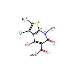 COC(=O)c1c(O)c2c(C)c(C)sc2n(C(C)C)c1=O